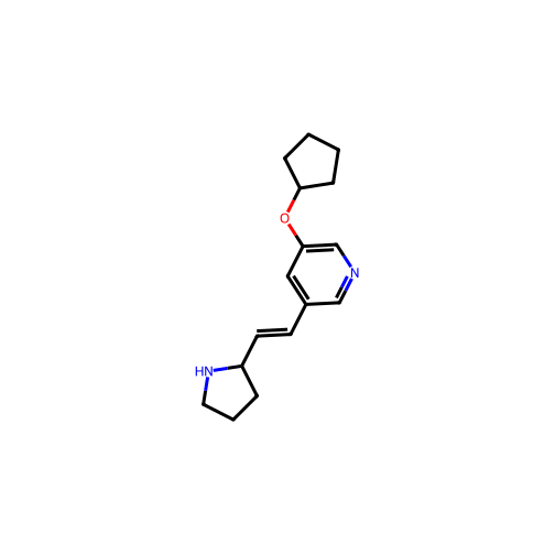 C(=CC1CCCN1)c1cncc(OC2CCCC2)c1